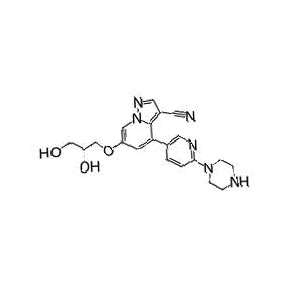 N#Cc1cnn2cc(OC[C@H](O)CO)cc(-c3ccc(N4CCNCC4)nc3)c12